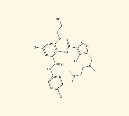 CN(C)CCN(C)Cc1csc(C(=O)Nc2c(OCCO)cc(Cl)cc2C(=O)Nc2ccc(Cl)cn2)c1Cl